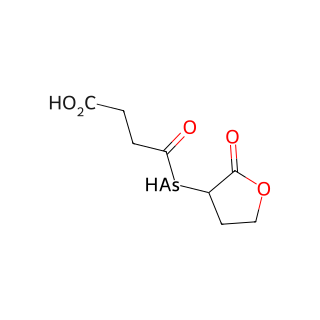 O=C(O)CCC(=O)[AsH]C1CCOC1=O